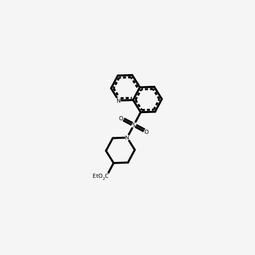 CCOC(=O)C1CCN(S(=O)(=O)c2cccc3cccnc23)CC1